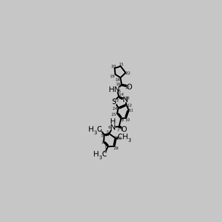 Cc1cc(C)c(NC(=O)c2ccc3nc(NC(=O)C4CCCC4)sc3c2)c(C)c1